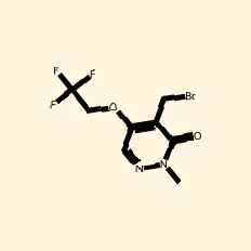 Cn1ncc(OCC(F)(F)F)c(CBr)c1=O